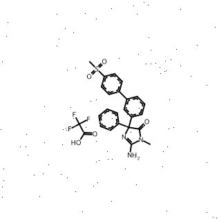 CN1C(=O)C(c2ccccc2)(c2cccc(-c3ccc(S(C)(=O)=O)cc3)c2)N=C1N.O=C(O)C(F)(F)F